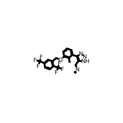 C=NCc1[nH]nnc1-c1cccc(OCc2cc(C(F)(F)F)ccc2C(F)(F)F)c1C